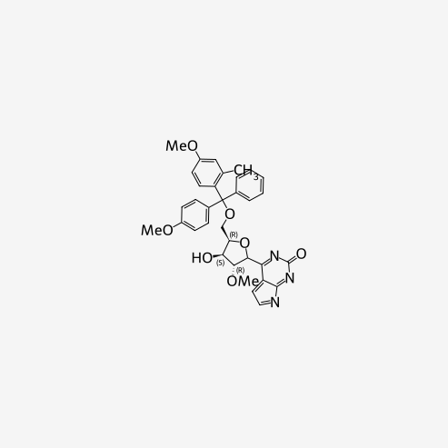 COc1ccc(C(OC[C@H]2OC(C3=NC(=O)N=C4N=CC=C43)[C@H](OC)[C@H]2O)(c2ccccc2)c2ccc(OC)cc2C)cc1